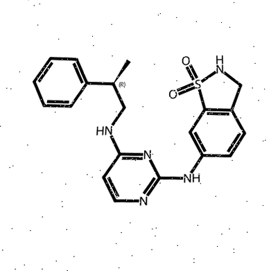 C[C@@H](CNc1ccnc(Nc2ccc3c(c2)S(=O)(=O)NC3)n1)c1ccccc1